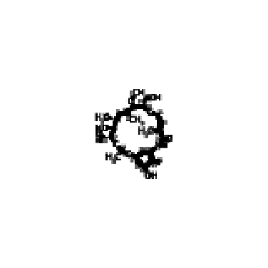 CO[C@H]1/C(C)=C/[C@@H](C)[C@H](O)[C@@H](CO)C[C@@H](C)Cc2cc(O)c(F)c(c2)NC(=O)/C(C)=C/CC[C@@H]1CO